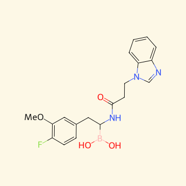 COc1cc(CC(NC(=O)CCn2cnc3ccccc32)B(O)O)ccc1F